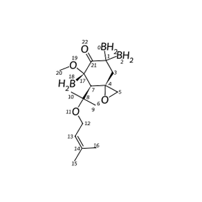 BC1(B)C[C@]2(CO2)[C@@H](C(C)(C)OCC=C(C)C)[C@](B)(OC)C1=O